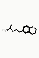 NC(=O)OCCc1ccc2c(c1)CCCO2